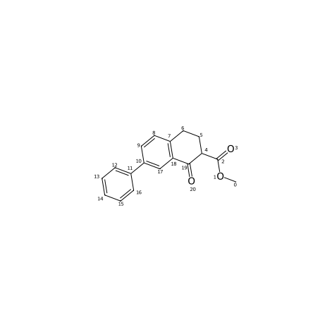 COC(=O)C1CCc2ccc(-c3ccccc3)cc2C1=O